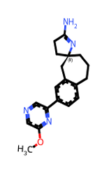 COc1cncc(-c2ccc3c(c2)C[C@@]2(CCC3)CCC(N)=N2)n1